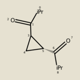 CC(C)C(=O)C1C[C@H]1C(=O)C(C)C